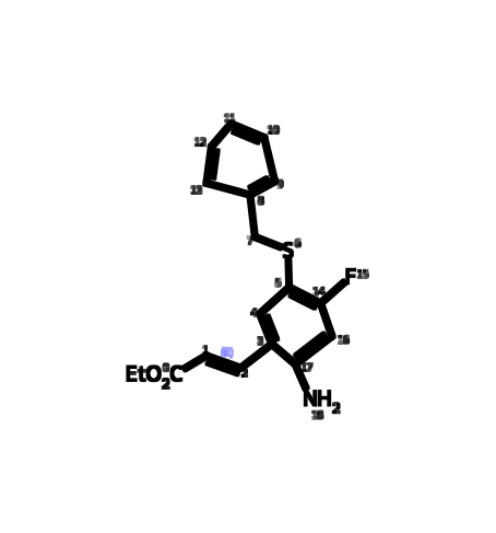 CCOC(=O)/C=C/c1cc(SCc2ccccc2)c(F)cc1N